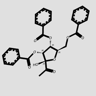 CC(=O)[C@@]1(O)O[C@H](COC(=O)c2ccccc2)[C@@H](OC(=O)c2ccccc2)[C@H]1OC(=O)c1ccccc1